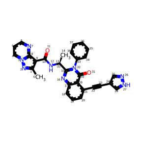 Cc1nn2cccnc2c1C(=O)N[C@@H](C)c1nc2cccc(C#Cc3cn[nH]c3)c2c(=O)n1-c1ccccc1